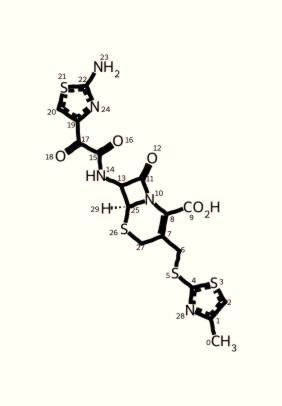 Cc1csc(SCC2=C(C(=O)O)N3C(=O)C(NC(=O)C(=O)c4csc(N)n4)[C@@H]3SC2)n1